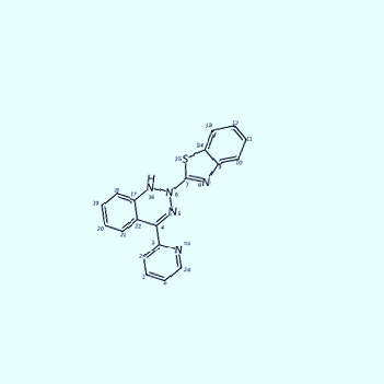 c1ccc(C2=NN(c3nc4ccccc4s3)Nc3ccccc32)nc1